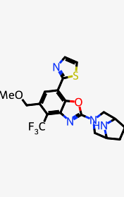 COCc1cc(-c2nccs2)c2oc(N3CC4CCC(C3)N4)nc2c1C(F)(F)F